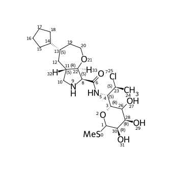 CSC1O[C@H]([C@H](NC(=O)[C@H]2NC[C@@H]3C[C@H](C4CCCC4)CCO[C@H]32)[C@H](C)Cl)C(O)[C@@H](O)[C@H]1O